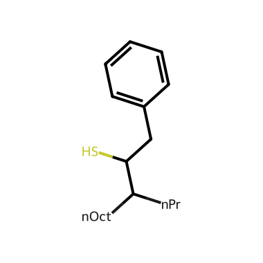 CCCCCCCCC(CCC)C(S)Cc1ccccc1